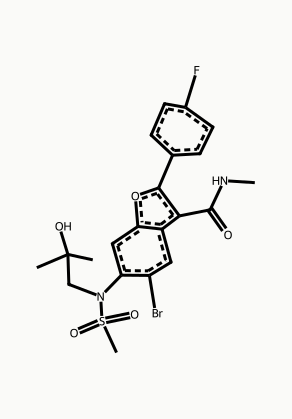 CNC(=O)c1c(-c2ccc(F)cc2)oc2cc(N(CC(C)(C)O)S(C)(=O)=O)c(Br)cc12